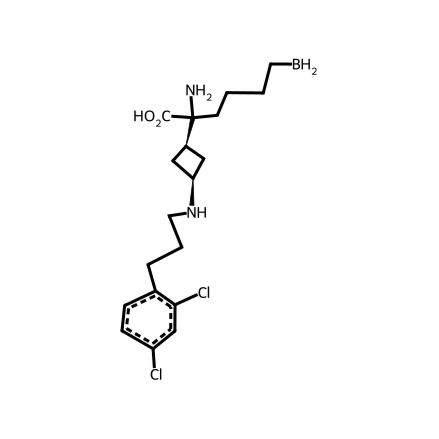 BCCCCC(N)(C(=O)O)[C@H]1C[C@@H](NCCCc2ccc(Cl)cc2Cl)C1